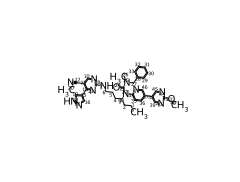 CCC[C@@H](CCCNc1ncc(C#N)c(-c2cn[nH]c2C)n1)N(C(=O)N(C)Cc1ccccc1)c1ccc(-c2cnc(OC)nc2)cn1